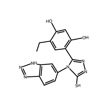 CCc1cc(-c2nnc(S)n2-c2ccc3nn[nH]c3c2)c(O)cc1O